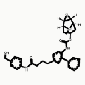 C[N+]1(C)[C@@H]2C[C@@H](OC(=O)Nc3ccc(CCCC(=O)Nc4ccc(CO)cc4)cc3-c3ccccc3)C[C@H]1[C@@H]1O[C@@H]12